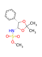 COS(=O)(=O)N[C@H]1OC(C)(C)O[C@H]1c1ccccc1